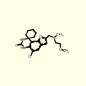 COCCN(C)Cc1cc2cc(Cl)c3c(c2o1)C1(CCCCC1)NC(=O)N3